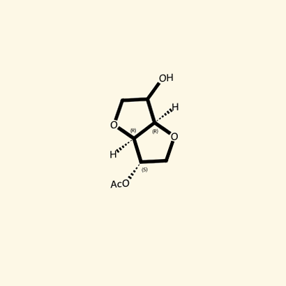 CC(=O)O[C@H]1CO[C@@H]2C(O)CO[C@H]12